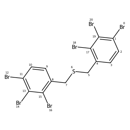 Brc1ccc(CSCc2ccc(Br)c(Br)c2Br)c(Br)c1Br